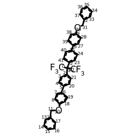 FC(F)(F)C(c1ccc(-c2ccc(OCc3ccccc3)cc2)cc1)(c1ccc(-c2ccc(OCc3ccccc3)cc2)cc1)C(F)(F)F